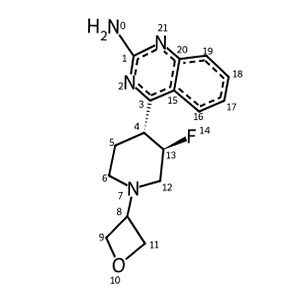 Nc1nc([C@H]2CCN(C3COC3)C[C@@H]2F)c2ccccc2n1